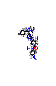 C/C=C(/C)n1c(C)nc(C2=CC=C(C)CC2)c1C1CC=NC(NC2CCN(C(=O)NC3=CCC(N(C)C)C=C3)CC2)=N1